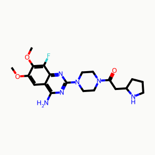 COc1cc2c(N)nc(N3CCN(C(=O)CC4CCCN4)CC3)nc2c(F)c1OC